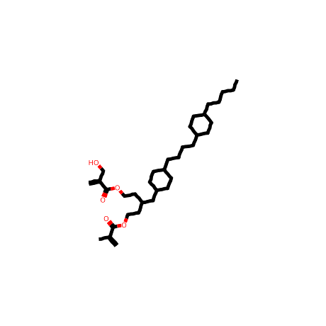 C=C(C)C(=O)OCCC(CCOC(=O)C(=C)CO)CC1CCC(CCCCC2CCC(CCCCC)CC2)CC1